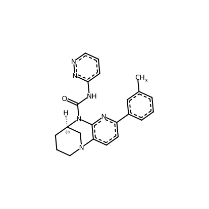 Cc1cccc(-c2ccc3c(n2)N(C(=O)Nc2cccnn2)[C@@H]2CCCN3C2)c1